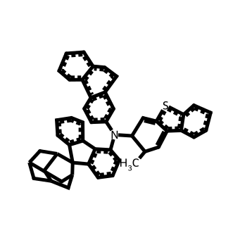 CC1C=c2c(sc3ccccc23)=CC1N(c1ccc2c(ccc3ccccc32)c1)c1cccc2c1-c1ccccc1C21C2CC3CC(C2)CC1C3